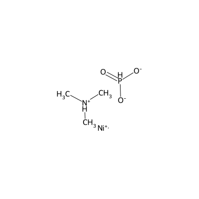 C[NH+](C)C.O=[PH]([O-])[O-].[Ni+]